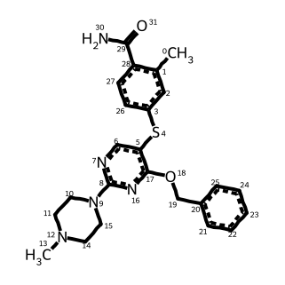 Cc1cc(Sc2cnc(N3CCN(C)CC3)nc2OCc2ccccc2)ccc1C(N)=O